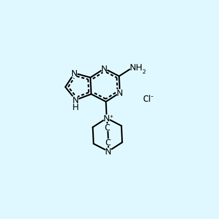 Nc1nc([N+]23CCN(CC2)CC3)c2[nH]cnc2n1.[Cl-]